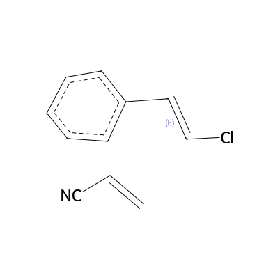 C=CC#N.Cl/C=C/c1ccccc1